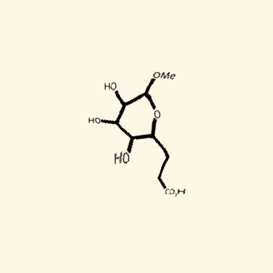 COC1OC(CCC(=O)O)C(O)C(O)C1O